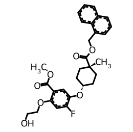 COC(=O)c1cc(O[C@H]2CC[C@@](C)(C(=O)OCc3cccc4ccccc34)CC2)c(F)cc1OCCO